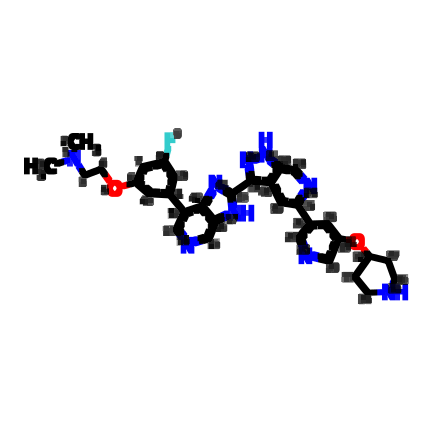 CN(C)CCOc1cc(F)cc(-c2cncc3[nH]c(-c4n[nH]c5cnc(-c6cncc(OC7CCNCC7)c6)cc45)nc23)c1